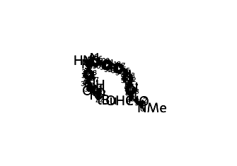 CNC(=O)CCN(C=O)c1ccc(N2CCN(CC3CCN(c4ccc(-c5cnc6[nH]nc(-c7ccc([C@@H](C)NC(=O)c8noc(C(C)(C)C)n8)c(C)c7)c6c5)cc4)CC3)CC2)nc1